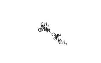 COCCC(=O)N[C@H]1CC[C@H](CCN2CCN(c3nc(C)cc4c3CCO4)CC2)CC1